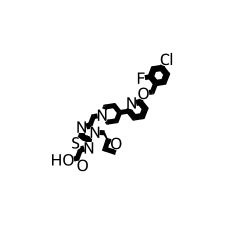 O=C(O)c1nc2c(nc(CN3CCC(c4cccc(OCc5ccc(Cl)cc5F)n4)CC3)n2C[C@@H]2CCO2)s1